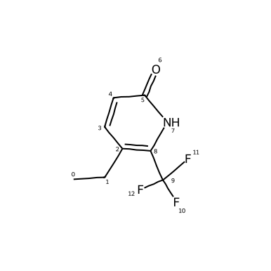 CCc1ccc(=O)[nH]c1C(F)(F)F